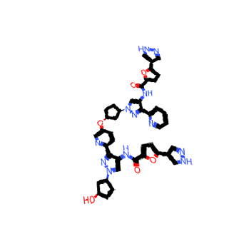 O=C(Nc1cn([C@H]2CC[C@@H](O)C2)nc1-c1ccc(O[C@@H]2CC[C@H](n3cc(NC(=O)c4ccc(-c5cn[nH]c5)o4)c(-c4ccccn4)n3)C2)cn1)c1ccc(-c2cn[nH]c2)o1